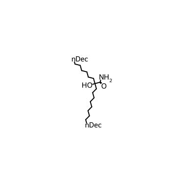 CCCCCCCCCCCCCCCCCCC(O)(CCCCCCCCCCCCCCCC)C(N)=O